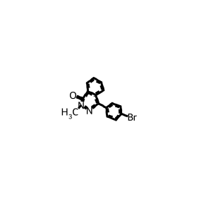 Cn1nc(-c2ccc(Br)cc2)c2ccccc2c1=O